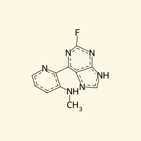 CNc1cccnc1-c1nc(F)nc2[nH]cnc12